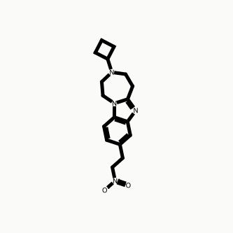 O=[N+]([O-])CCc1ccc2c(c1)nc1n2CCN(C2CCC2)CC1